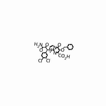 C[N+]1(C(C(=O)C(N)=O)c2ccc(Cl)c(Cl)c2)C=Cn2c1nc(C(=O)O)c(OCc1ccccc1)c2=O